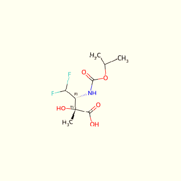 CC(C)OC(=O)N[C@@H](C(F)F)[C@@](C)(O)C(=O)O